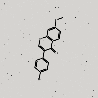 COc1ccc2c(=O)c(-c3ccc(Br)cc3)coc2c1